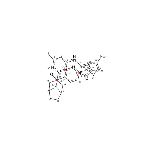 Cc1cc(Nc2cc(C)[nH]n2)nc(N2CC3CCC(C2)N3C(=O)c2ccc(-n3cc(F)cn3)nc2)n1